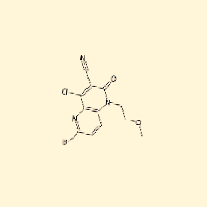 COCCn1c(=O)c(C#N)c(Cl)c2nc(Br)ccc21